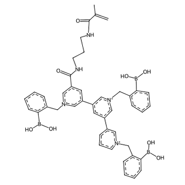 C=C(C)C(=O)NCCCNC(=O)c1cc(-c2cc(-c3ccc[n+](Cc4ccccc4B(O)O)c3)c[n+](Cc3ccccc3B(O)O)c2)c[n+](Cc2ccccc2B(O)O)c1